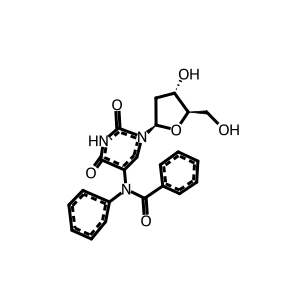 O=C(c1ccccc1)N(c1ccccc1)c1cn([C@H]2C[C@H](O)[C@@H](CO)O2)c(=O)[nH]c1=O